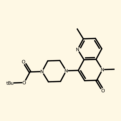 Cc1ccc2c(n1)c(N1CCN(C(=O)OC(C)(C)C)CC1)cc(=O)n2C